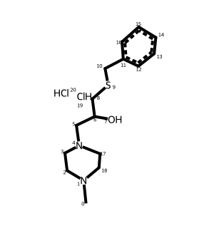 CN1CCN(CC(O)CSCc2ccccc2)CC1.Cl.Cl